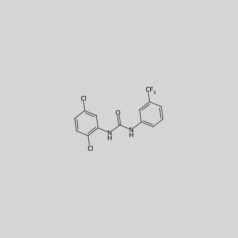 O=C(Nc1cccc(C(F)(F)F)c1)Nc1cc(Cl)ccc1Cl